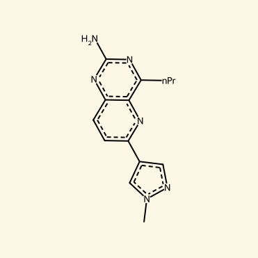 CCCc1nc(N)nc2ccc(-c3cnn(C)c3)nc12